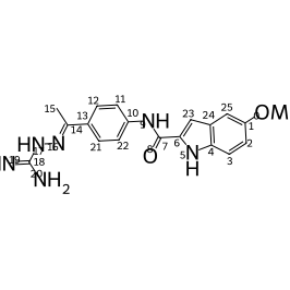 COc1ccc2[nH]c(C(=O)Nc3ccc(C(C)=NNC(=N)N)cc3)cc2c1